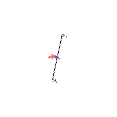 CCCCCCCCCCCCCCCCCCOCCCCCCCCCCCCCCCCCC.N.N.O=S(=O)(O)O